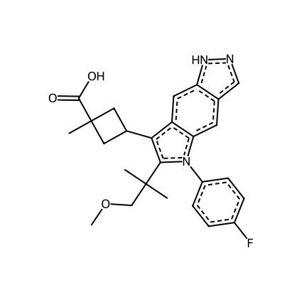 COCC(C)(C)c1c(C2CC(C)(C(=O)O)C2)c2cc3[nH]ncc3cc2n1-c1ccc(F)cc1